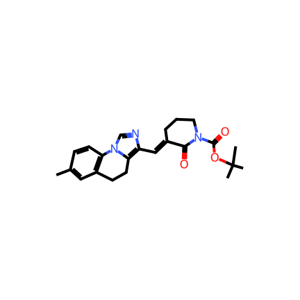 Cc1ccc2c(c1)CCc1c(/C=C3\CCCN(C(=O)OC(C)(C)C)C3=O)ncn1-2